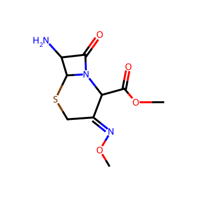 CON=C1CSC2C(N)C(=O)N2C1C(=O)OC